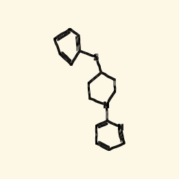 c1ccc(SC2CCN(c3ccccn3)CC2)cc1